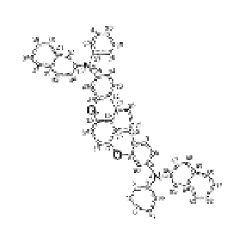 c1ccc(N(c2ccc3c(c2)Oc2ccc4c5c(ccc-3c25)-c2ccc(N(c3ccccc3)c3ccc5ccccc5c3)cc2O4)c2ccc3ccccc3c2)cc1